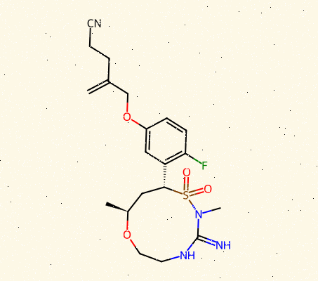 C=C(CCC#N)COc1ccc(F)c([C@H]2C[C@H](C)OCCNC(=N)N(C)S2(=O)=O)c1